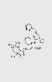 CC1(C)OCC(C)(C)C(C(=O)NCC(C(=O)O)C2(NC(=O)C3(C/C=C/c4ccccc4)CCC3)CCCCC2)O1